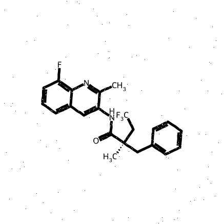 Cc1nc2c(F)cccc2cc1NC(=O)[C@](C)(Cc1ccccc1)CC(F)(F)F